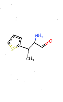 CC(c1cccs1)C(N)C=O